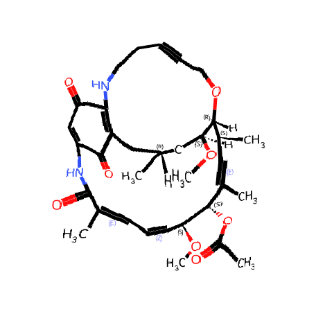 CO[C@H]1/C=C\C=C(/C)C(=O)NC2=CC(=O)C3=C(C[C@@H](C)C[C@H](OC)[C@H](OCC#CCCN3)[C@@H](C)/C=C(\C)[C@@H]1OC(C)=O)C2=O